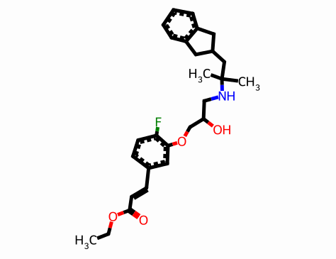 CCOC(=O)C=Cc1ccc(F)c(OCC(O)CNC(C)(C)CC2Cc3ccccc3C2)c1